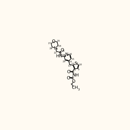 CCOC(=O)NC(=O)c1ccsc1Cc1ccnc(NC(=O)CN2CCOCC2)c1